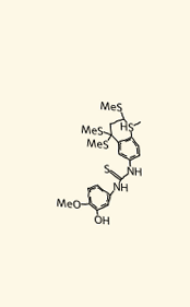 COc1ccc(NC(=S)Nc2ccc3c(c2)C(SC)(SC)CC(SC)[SH]3C)cc1O